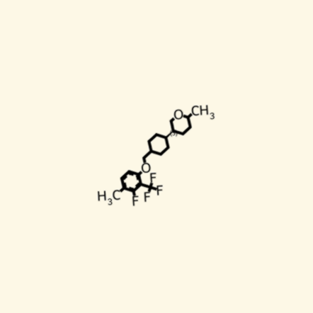 Cc1ccc(OCC2CCC([C@@H]3CCC(C)OC3)CC2)c(C(F)(F)F)c1F